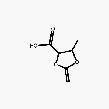 C=C1OC(C)C(C(=O)O)O1